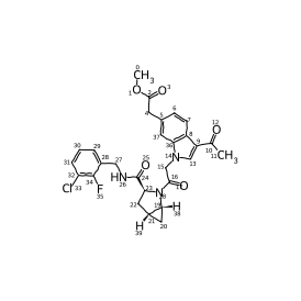 COC(=O)Cc1ccc2c(C(C)=O)cn(CC(=O)N3[C@@H]4C[C@@H]4C[C@H]3C(=O)NCc3cccc(Cl)c3F)c2c1